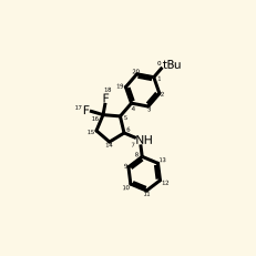 CC(C)(C)c1ccc(C2C(Nc3ccccc3)CCC2(F)F)cc1